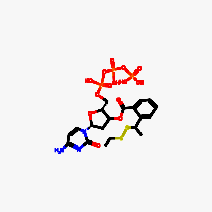 CCSSC(C)c1ccccc1C(=O)OC1C[C@H](n2ccc(N)nc2=O)O[C@@H]1COP(=O)(O)OP(=O)(O)OP(=O)(O)O